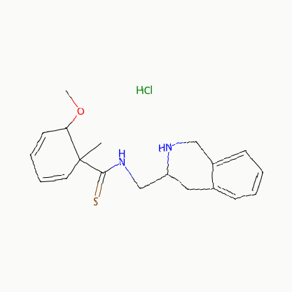 COC1C=CC=CC1(C)C(=S)NCC1Cc2ccccc2CN1.Cl